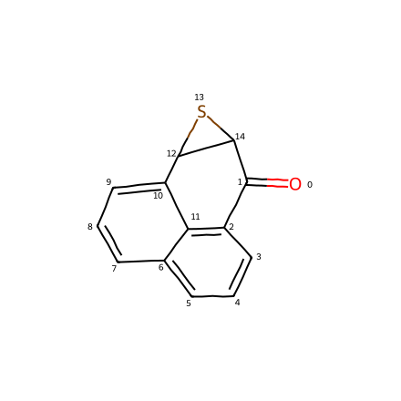 O=C1c2cccc3cccc(c23)C2SC12